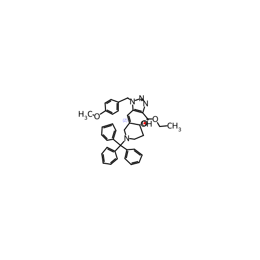 CCOC(=O)c1nnn(Cc2ccc(OC)cc2)c1/C=C1/CN(C(c2ccccc2)(c2ccccc2)c2ccccc2)CCC1O